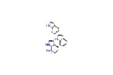 N.c1ccc2[nH]ccc2c1.c1ccc2[nH]ccc2c1.c1ccc2[nH]ccc2c1